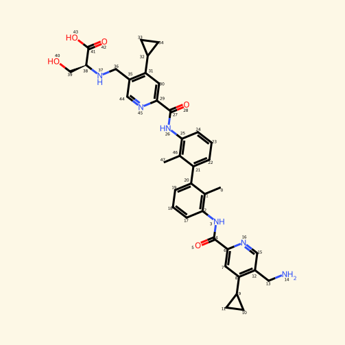 Cc1c(NC(=O)c2cc(C3CC3)c(CN)cn2)cccc1-c1cccc(NC(=O)c2cc(C3CC3)c(CN[C@@H](CO)C(=O)O)cn2)c1C